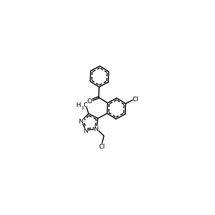 Cc1nnn(CCl)c1-c1ccc(Cl)cc1C(=O)c1ccccc1